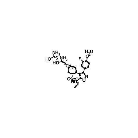 C.C=CC(C)c1onc(-c2ccc(OC)c(F)c2)c1-c1ccccc1S(N)(=O)=O.NC(O)=S.NC(O)=S.O